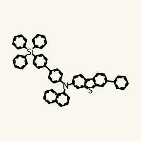 c1ccc(-c2ccc3c(c2)sc2cc(N(c4ccc(-c5ccc([Si](c6ccccc6)(c6ccccc6)c6ccccc6)cc5)cc4)c4cccc5ccccc45)ccc23)cc1